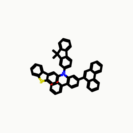 CC1(C)c2ccccc2-c2ccc(N(c3ccc4sc5ccccc5c4c3)c3cc(-c4cc5ccccc5c5ccccc45)ccc3-c3ccccc3)cc21